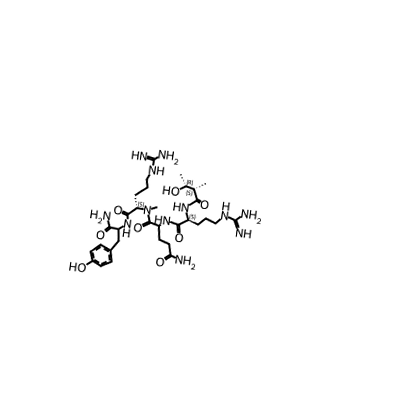 C[C@H](C(=O)N[C@@H](CCCNC(=N)N)C(=O)NC(CCC(N)=O)C(=O)N(C)[C@@H](CCCNC(=N)N)C(=O)NC(Cc1ccc(O)cc1)C(N)=O)[C@@H](C)O